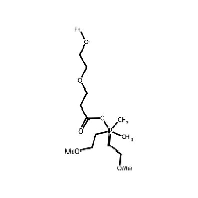 CCOCCOCCC(=O)OP(C)(C)(CCOC)CCOC